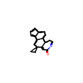 O=c1cc2c(ccn1)-c1ccc3c(c1=CC21CC1)=CC=C3